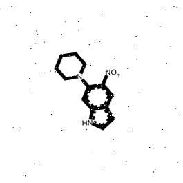 O=[N+]([O-])c1cc2cc[nH]c2cc1N1CCCCC1